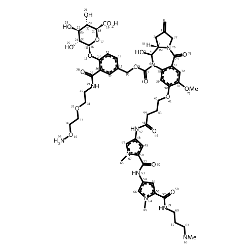 C=C1C[C@H]2C(O)N(C(=O)OCc3ccc(O[C@@H]4O[C@H](C(=O)O)[C@@H](O)[C@H](O)[C@H]4O)c(C(=O)NCCOCCON)c3)c3cc(OCCCC(=O)Nc4cc(C(=O)Nc5cc(C(=O)NCCCNC)n(C)c5)n(C)c4)c(OC)cc3C(=O)N2C1